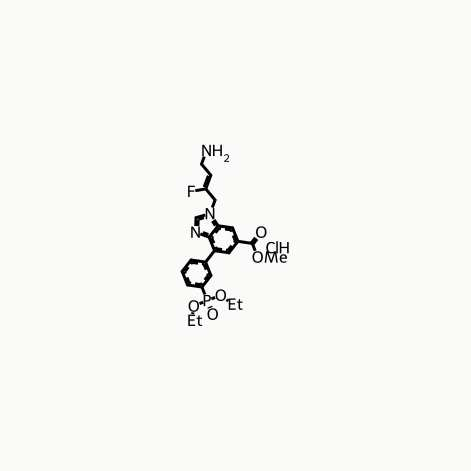 CCOP(=O)(OCC)c1cccc(-c2cc(C(=O)OC)cc3c2ncn3CC(F)=CCN)c1.Cl